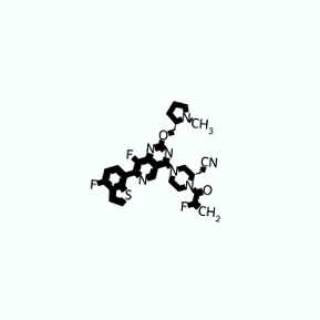 C=C(F)C(=O)N1CCN(c2nc(OC[C@@H]3CCCN3C)nc3c(F)c(-c4ccc(F)c5ccsc45)ncc23)C[C@@H]1CC#N